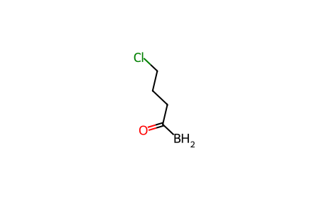 BC(=O)CCCCl